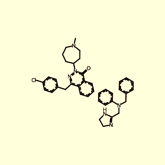 CN1CCCC(n2nc(Cc3ccc(Cl)cc3)c3ccccc3c2=O)CC1.c1ccc(CN(CC2=NCCN2)c2ccccc2)cc1